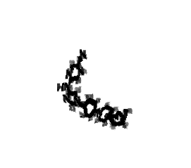 CN1CCC12CCN(c1ccc(-n3cnc(Nc4cnc(C#N)cn4)c3)cc1)CC2